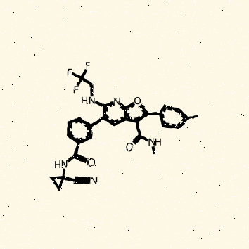 CNC(=O)c1c(-c2ccc(C)cc2)oc2nc(NCC(F)(F)F)c(-c3cccc(C(=O)NC4(C#N)CC4)c3)cc12